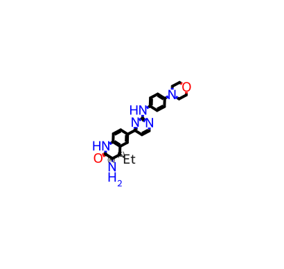 CC[C@H]1c2cc(-c3ccnc(Nc4ccc(N5CCOCC5)cc4)n3)ccc2NC(=O)[C@@H]1N